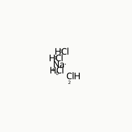 Cl.Cl.Cl.Cl.[Na]